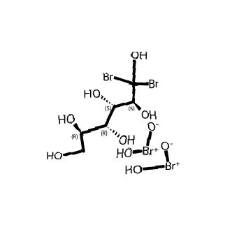 OC[C@@H](O)[C@@H](O)[C@H](O)[C@H](O)C(O)(Br)Br.[O-][Br+]O.[O-][Br+]O